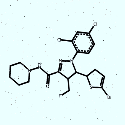 O=C(NN1CCCCC1)C1=NN(c2ccc(Cl)cc2Cl)C(C2CC=C(Br)S2)C1CF